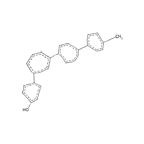 Cc1ccc(-c2ccc(-c3[c]ccc(-c4ccc(O)cc4)c3)cc2)cc1